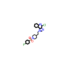 O=S(=O)(c1ccc(F)cc1)N1CCC(CCn2cnc3c(Cl)nc4ccccc4c32)CC1